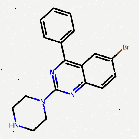 Brc1ccc2nc(N3CCNCC3)nc(-c3ccccc3)c2c1